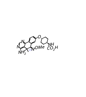 CO/N=C1\c2cc(O[C@H]3CC[C@H](NC(=O)O)CC3)ccc2-c2ncnc(N)c2C1(C)C